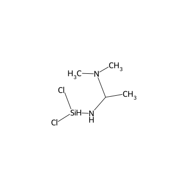 CC(N[SiH](Cl)Cl)N(C)C